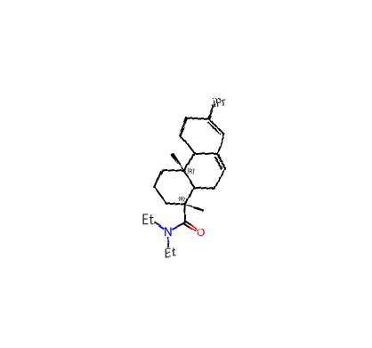 CCN(CC)C(=O)[C@]1(C)CCC[C@]2(C)C3CCC(C(C)C)=CC3=CCC21